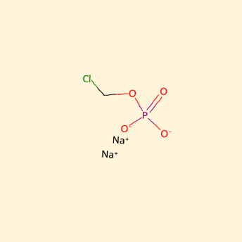 O=P([O-])([O-])OCCl.[Na+].[Na+]